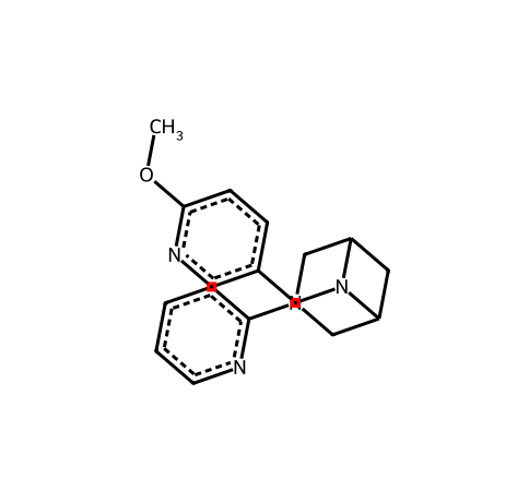 COc1ccc(CN2C3CC2CN(c2ccccn2)C3)cn1